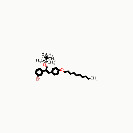 CCCCCCCCCCOc1ccc(C=C(CO[Si](C)(C)C(C)(C)C)c2cccc(Br)c2)cc1